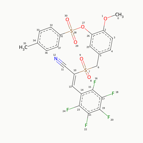 COc1ccc(CS(=O)(=O)/C(C#N)=C\c2c(F)c(F)c(F)c(F)c2F)cc1OS(=O)(=O)c1ccc(C)cc1